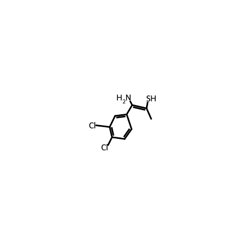 C/C(S)=C(/N)c1ccc(Cl)c(Cl)c1